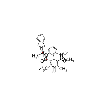 COC(=O)C1=C(C)NC(C)=C(C(=O)OC(C)N2Cc3ccccc3C2)C1c1c([N+](=O)[O-])cccc1[N+](=O)[O-]